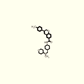 Cc1ccc(C2=Cc3cc(C(=O)N[C@H]4CC[C@H](CN(C)C5CCOCC5)CC4)ccc3OC2)cc1